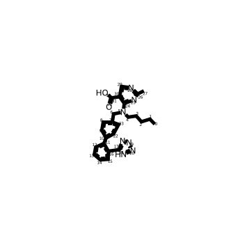 CCCCCN(Cc1ccc(-c2ccccc2-c2nnn[nH]2)cc1)c1nc(C)ncc1C(=O)O